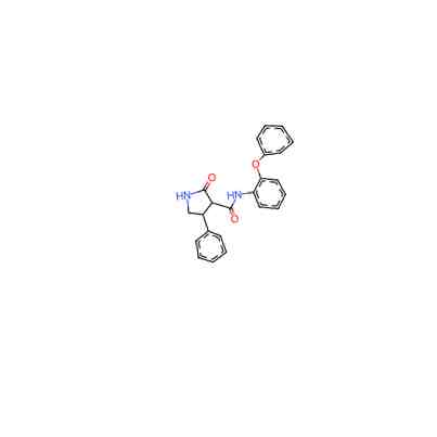 O=C1NCC(c2ccccc2)C1C(=O)Nc1ccccc1Oc1ccccc1